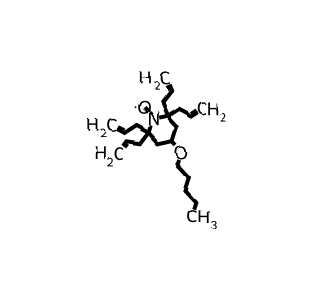 C=CCC1(CC=C)CC(OCCCCC)CC(CC=C)(CC=C)N1[O]